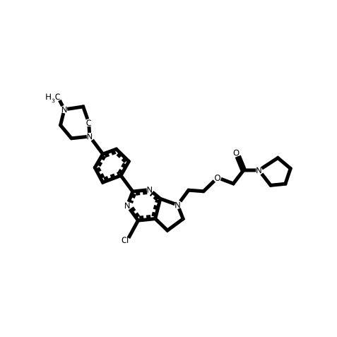 CN1CCN(c2ccc(-c3nc(Cl)c4c(n3)N(CCOCC(=O)N3CCCC3)CC4)cc2)CC1